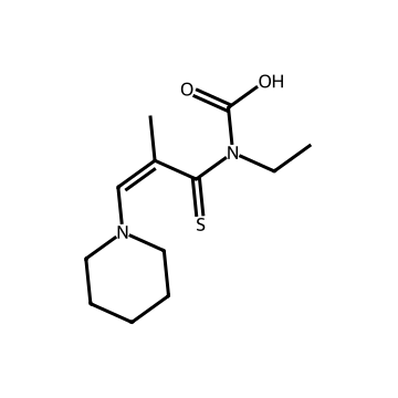 CCN(C(=O)O)C(=S)C(C)=CN1CCCCC1